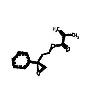 C=C(C)C(=O)OCCC1(c2ccccc2)CO1